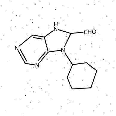 O=CC1Nc2cncnc2N1C1CCCCC1